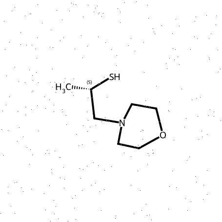 C[C@H](S)CN1CCOCC1